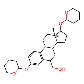 C[C@]12CCC3c4ccc(OC5CCCCO5)cc4C(CO)CC3C1CCC2OC1CCCCO1